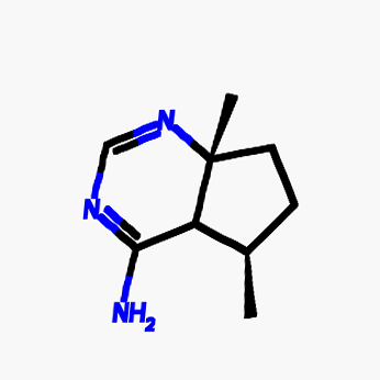 C[C@@H]1CC[C@@]2(C)N=CN=C(N)C12